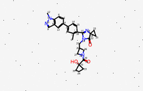 Cc1cc(-c2ccc3c(cnn3C)c2)ccc1C1=NC2(CC2)C(=O)N1CC1CN(C(=O)C2(O)CCC2)C1